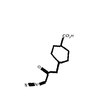 [N-]=[N+]=CC(=O)CC1CCC(C(=O)O)CC1